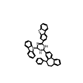 c1ccc(C2CCc3ccccc3-c3ccc(C4NC(c5ccc6c(c5)sc5ccccc56)=NC(n5c6ccccc6c6ccccc65)N4)cc32)cc1